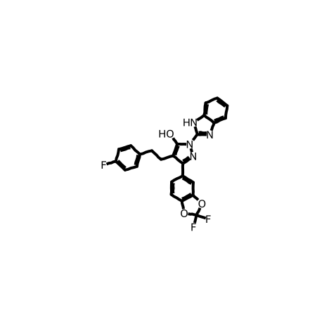 Oc1c(CCc2ccc(F)cc2)c(-c2ccc3c(c2)OC(F)(F)O3)nn1-c1nc2ccccc2[nH]1